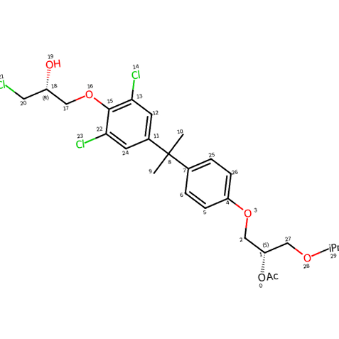 CC(=O)O[C@H](COc1ccc(C(C)(C)c2cc(Cl)c(OC[C@@H](O)CCl)c(Cl)c2)cc1)COC(C)C